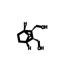 OC[C@@H]1[C@H](CO)[C@@H]2CC[C@H]1O2